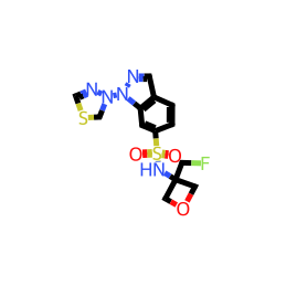 O=S(=O)(NC1(CF)COC1)c1ccc2cnn(N3CSC=N3)c2c1